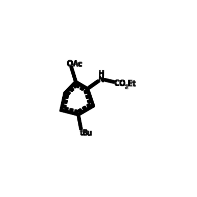 CCOC(=O)Nc1cc(C(C)(C)C)ccc1OC(C)=O